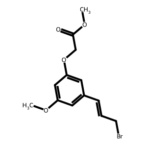 COC(=O)COc1cc(/C=C/CBr)cc(OC)c1